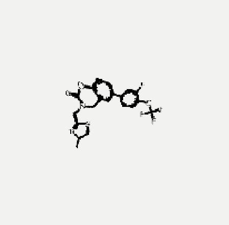 CC1CSC(CN2Cc3cc(-c4ccc(OC(F)(F)F)c(F)c4)ccc3OC2=O)=N1